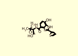 CC(C)(C)C(CO)NC(=O)c1ccc(O)c2[nH]c(-c3cccs3)nc12